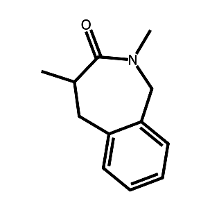 CC1Cc2ccccc2CN(C)C1=O